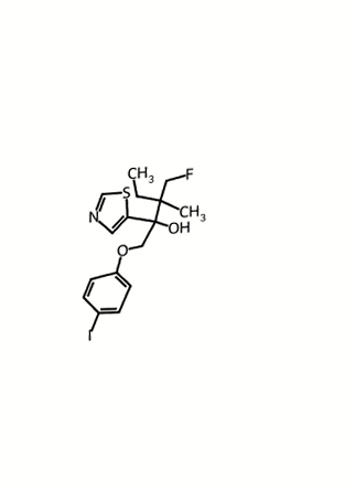 CCC(C)(CF)C(O)(COc1ccc(I)cc1)c1cncs1